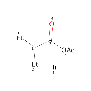 CCC(CC)C(=O)OC(C)=O.[Ti]